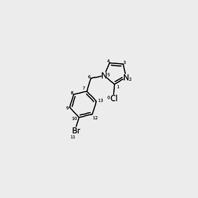 Clc1nccn1Cc1ccc(Br)cc1